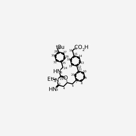 CCN(C(=N)CCCc1cccc(-c2ccc(CC(=O)O)cc2)c1)C(=O)NCc1ccc(C(C)(C)C)cc1